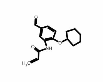 C=CC(=O)Nc1cc(C=O)ccc1OC1CCCCC1